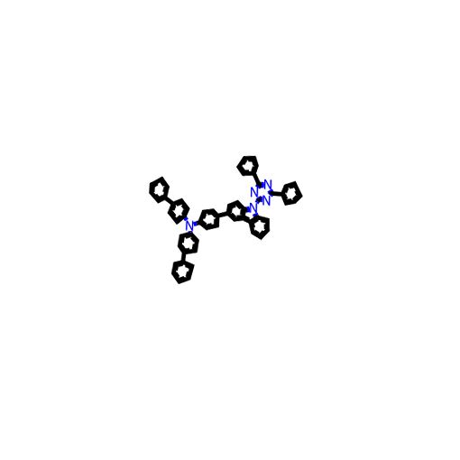 c1ccc(-c2ccc(N(c3ccc(-c4ccccc4)cc3)c3ccc(-c4ccc5c(c4)c4ccccc4n5-c4nc(-c5ccccc5)nc(-c5ccccc5)n4)cc3)cc2)cc1